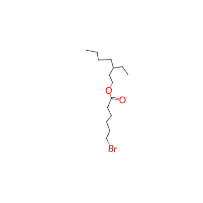 CCCCC(CC)CCOC(=O)CCCCCBr